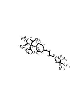 CC(C)[Si](C(C)C)(C(C)C)N1CCN(CC[SiH2]OC(C)(C)C)CC1